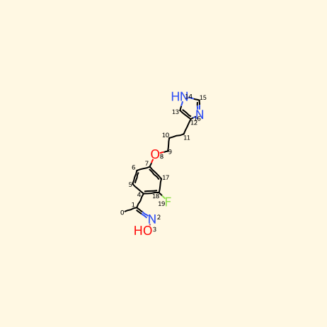 CC(=NO)c1ccc(OCCCc2c[nH]cn2)cc1F